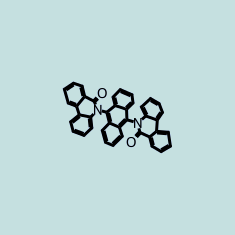 O=c1c2ccccc2c2ccccc2n1-c1c2ccccc2c(-n2c(=O)c3ccccc3c3ccccc32)c2ccccc12